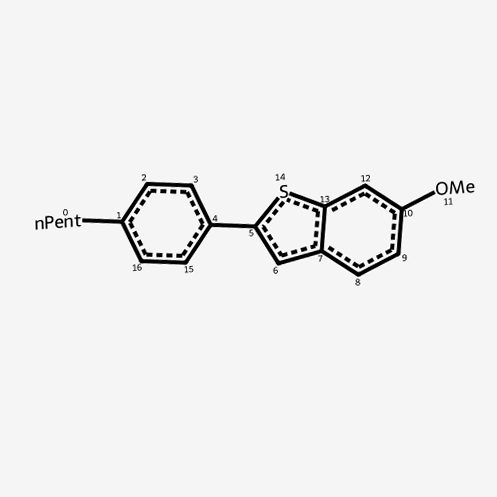 CCCCCc1ccc(-c2cc3ccc(OC)cc3s2)cc1